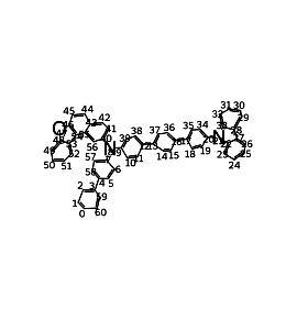 c1ccc(-c2ccc(N(c3ccc(-c4ccc(-c5ccc(-n6c7ccccc7c7ccccc76)cc5)cc4)cc3)c3ccc4ccc5oc6ccccc6c5c4c3)cc2)cc1